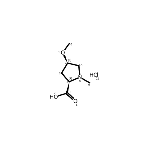 CO[C@@H]1C[C@H](C(=O)O)N(C)C1.Cl